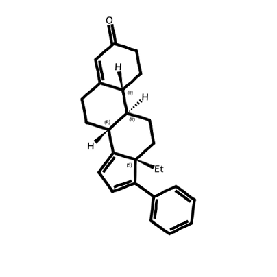 CC[C@]12CC[C@@H]3[C@H]4CCC(=O)C=C4CC[C@H]3C1=CC=C2c1ccccc1